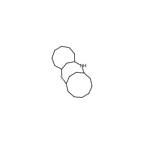 C1CCCC2CCC(CC1)NC1CCCCCCC(C1)S2